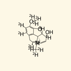 [2H]c1c([2H])c(OC([2H])([2H])[2H])c2c3c1C[C@]1([2H])[C@@H]4C=CC([2H])(O)C([2H])(O2)[C@]34CCN1C([2H])([2H])[2H]